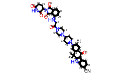 CCc1cc2c(cc1N1CCC(N3CCN(C(=O)CNc4cccc5c4C(=O)N(C4CCC(=O)NC4=O)C5=O)CC3)CC1)C(C)(C)c1[nH]c3cc(C#N)ccc3c1C2=O